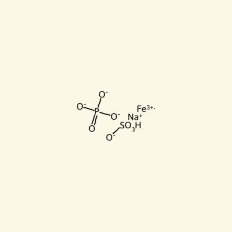 O=P([O-])([O-])[O-].O=S(=O)([O-])O.[Fe+3].[Na+]